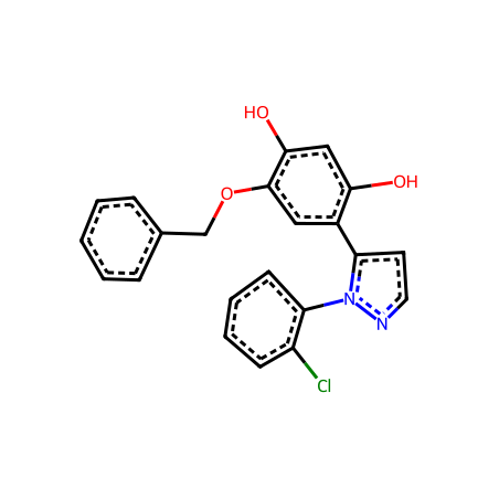 Oc1cc(O)c(-c2ccnn2-c2ccccc2Cl)cc1OCc1ccccc1